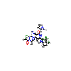 C=C(F)C(=O)N1CCN(c2c(C#N)c(OC[C@@H]3CCCN3C)nc3c2CCN(c2cccc(F)c2C(F)(F)F)C3)C[C@@H]1C